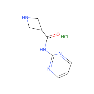 Cl.O=C(Nc1ncccn1)C1CNC1